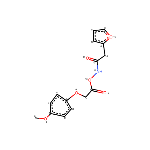 COc1ccc(OCC(=O)ONC(=O)Cc2ccco2)cc1